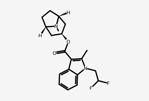 Cc1c(C(=O)O[C@@H]2C[C@H]3CC[C@@H](C2)N3C)c2ccccc2n1CC(F)F